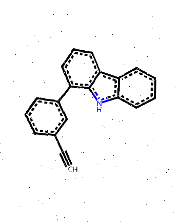 C#Cc1[c]ccc(-c2cccc3c2[nH]c2ccccc23)c1